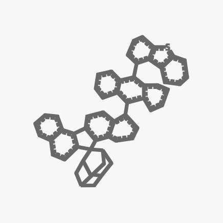 c1ccc2c3c(ccc2c1)C1(c2c-3ccc3c(-c4c5ccccc5c(-c5cccc6sc7ccccc7c56)c5ccccc45)cccc23)C2CC3CC(C2)CC1C3